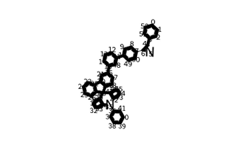 c1ccc(C2=N[C@@H]2c2ccc(-c3cccc(-c4ccc5c(c4)-c4ccccc4C54c5ccccc5N(c5ccccc5)c5ccccc54)c3)cc2)cc1